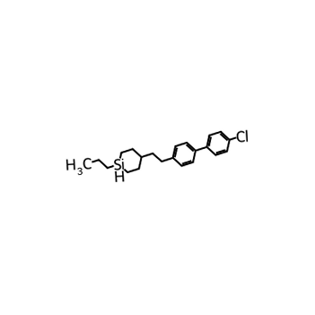 CCC[SiH]1CCC(CCc2ccc(-c3ccc(Cl)cc3)cc2)CC1